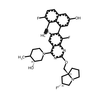 C#Cc1c(F)ccc2cc(O)cc(-c3c(F)cc4c(N5CCC(C)[C@@H](O)C5)nc(OC[C@@]56CCCN5C[C@H](F)C6)nc4c3F)c12